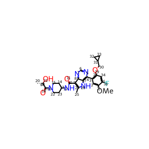 COc1cc(-c2ncnc3c(C(=O)NC4CCN(C(=O)[C@H](C)O)CC4)c(C)[nH]c23)c(OCC2CC2)cc1F